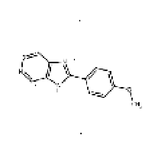 COc1ccc(-c2nc3cnncc3[nH]2)cc1